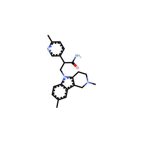 Cc1ccc2c(c1)c1c(n2CC(C(N)=O)c2ccc(C)nc2)CCN(C)C1